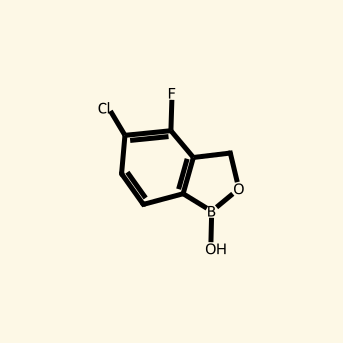 OB1OCc2c1ccc(Cl)c2F